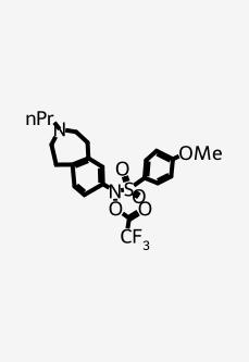 CCCN1CCc2ccc(N(OC(=O)C(F)(F)F)S(=O)(=O)c3ccc(OC)cc3)cc2CC1